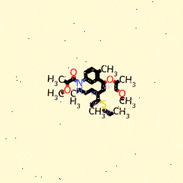 C/C=C\SC(=C\C)/C(=C\CCC)/C=C(/OC(C)COC)c1cc(NC(=O)C(C)OC)ccc1C